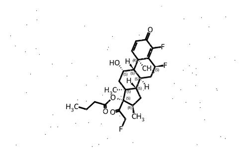 CCCC(=O)O[C@@]1(C(=O)CF)[C@H](C)C[C@H]2[C@@H]3C[C@H](F)C4=C(F)C(=O)C=C[C@]4(C)[C@H]3[C@@H](O)C[C@@]21C